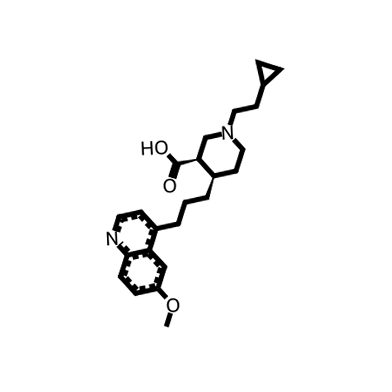 COc1ccc2nccc(CCC[C@@H]3CCN(CCC4CC4)C[C@@H]3C(=O)O)c2c1